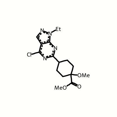 CCn1ncc2c(Cl)nc(C3CCC(OC)(C(=O)OC)CC3)nc21